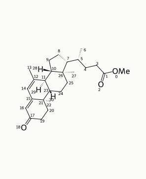 COC(=O)CC[C@@H](C)[C@H]1CC[C@H]2[C@@H]3C(C)=CC4=CC(=O)CC[C@]4(C)[C@H]3CC[C@]12C